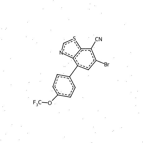 N#Cc1c(Br)cc(-c2ccc(OC(F)(F)F)cc2)c2ncsc12